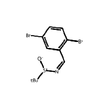 CC(C)(C)[S+]([O-])/N=C\c1cc(Br)ccc1Br